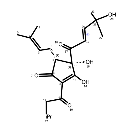 CC(C)=CC[C@H]1C(=O)C(C(=O)CC(C)C)=C(O)[C@]1(O)C(=O)/C=C/C(C)(C)O